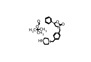 CC(C)(C)OC=O.O=C1O[C@H](c2ccccc2)CN1Cc1ccc(CN2CCNCC2)cc1